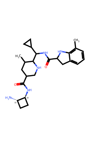 Cc1cccc2c1NC(C(=O)NC(C1CC1)C1NCC(C(=O)N[C@H]3CC[C@@H]3N)CC1C)C2